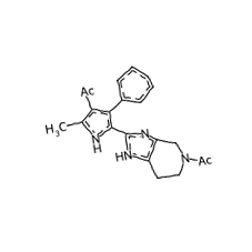 CC(=O)c1c(C)[nH]c(-c2nc3c([nH]2)CCN(C(C)=O)C3)c1-c1ccccc1